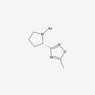 CC(=O)N1CCC[C@H]1c1noc(C)n1